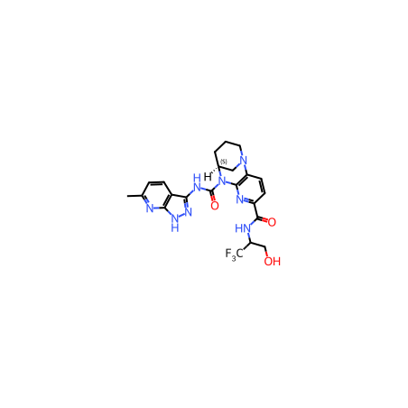 Cc1ccc2c(NC(=O)N3c4nc(C(=O)NC(CO)C(F)(F)F)ccc4N4CCC[C@H]3C4)n[nH]c2n1